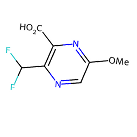 COc1cnc(C(F)F)c(C(=O)O)n1